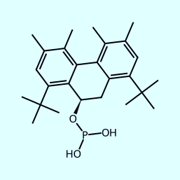 Cc1cc(C(C)(C)C)c2c(c1C)-c1c(C)c(C)cc(C(C)(C)C)c1[C@H](OP(O)O)C2